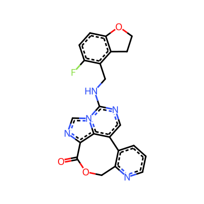 O=C1OCc2ncccc2-c2cnc(NCc3c(F)ccc4c3CCO4)n3cnc1c23